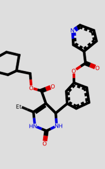 CCC1=C(C(=O)OCC2CCCCC2)C(c2cccc(OC(=O)c3cccnc3)c2)NC(=O)N1